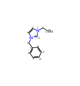 CCC(C)Cn1cc[n+](Cc2ccccc2)c1